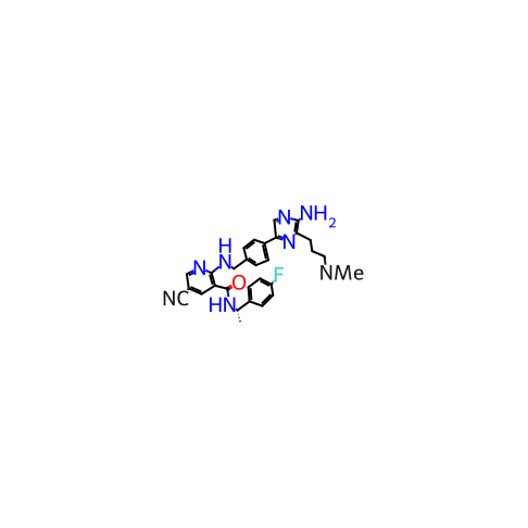 CNCCCc1nc(-c2ccc(CNc3ncc(C#N)cc3C(=O)N[C@@H](C)c3ccc(F)cc3)cc2)cnc1N